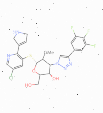 COC1C(n2cc(-c3cc(F)c(F)c(F)c3)nn2)[C@@H](O)C(CO)O[C@@H]1Sc1cc(Cl)cnc1C1=CCNC1